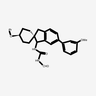 COc1cccc(-c2ccc3c(c2)C(NC(=O)NC=O)[C@]2(CC[C@H](OC(C)C)CC2)C3)c1